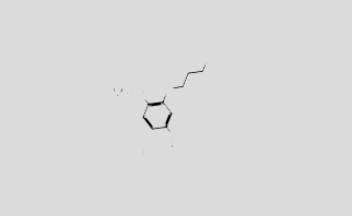 CCOC(=O)Oc1ccc(OC)c(OCCCS(=O)(=O)O)c1